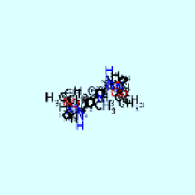 Cc1cc(-c2c[nH]c(C3[C@H]4CC[C@H](C4)N3C(=O)OC(C)(C)C)n2)ccc1-c1ncc(-c2c[nH]c([C@@H]3[C@H]4CC[C@H](C4)N3C(=O)OC(C)(C)C)n2)cc1C